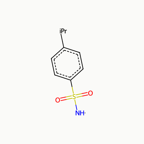 CC(C)c1ccc(S([NH])(=O)=O)cc1